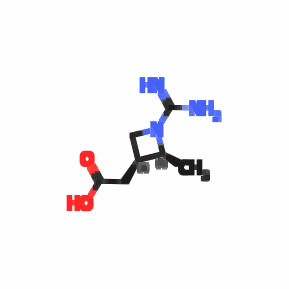 C[C@H]1[C@@H](CC(=O)O)CN1C(=N)N